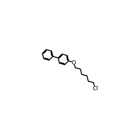 ClCCCCCCOc1ccc(-c2ccccc2)cc1